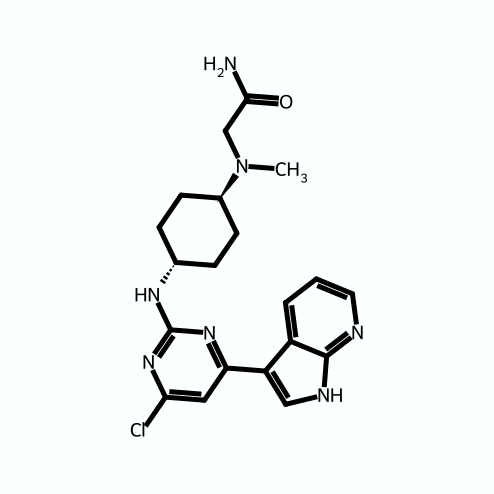 CN(CC(N)=O)[C@H]1CC[C@H](Nc2nc(Cl)cc(-c3c[nH]c4ncccc34)n2)CC1